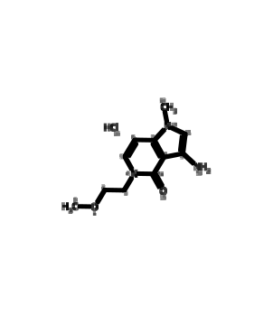 COCCn1ccc2c(c(N)cn2C)c1=O.Cl